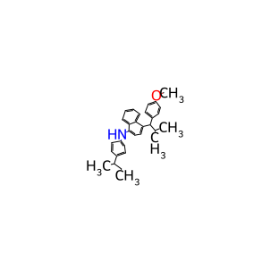 CCC(C)c1ccc(Nc2ccc(C(c3ccc(OC)cc3)C(C)C)c3ccccc23)cc1